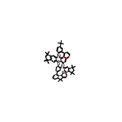 Cc1cc2c3c(c1)N(c1ccc(C(C)(C)C)cc1-c1ccccc1)c1cc4c(cc1B3c1ccc(-c3cccc5c3-c3ccccc3C5(C)C)cc1N2c1cc2c(cc1C)C(C)(C)CC2(C)C)C(C)(C)CC4(C)C